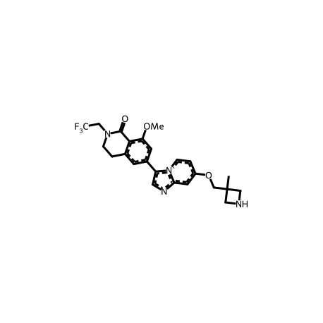 COc1cc(-c2cnc3cc(OCC4(C)CNC4)ccn23)cc2c1C(=O)N(CC(F)(F)F)CC2